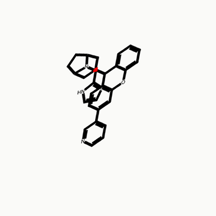 c1cncc(-c2ccc3c(c2)Oc2ccccc2C3C2CC3CCC(C2)N3Cc2ncc[nH]2)c1